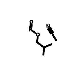 CC#N.CC(C)CON=O